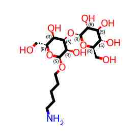 NCCCCCO[C@H]1O[C@H](CO)[C@@H](O)[C@H](O[C@H]2O[C@H](CO)[C@@H](O)[C@H](O)[C@H]2O)[C@H]1O